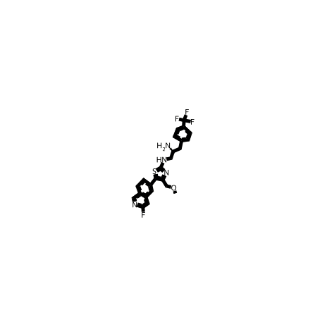 COCc1nc(NC[C@@H](N)Cc2ccc(C(F)(F)F)cc2)sc1-c1ccc2cnc(F)cc2c1